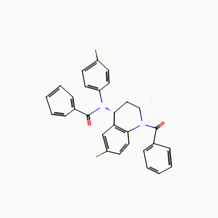 C[C@H]1C[C@H](N(C(=O)c2ccccc2)c2ccc(F)cc2)c2cc(F)ccc2N1C(=O)c1ccccc1